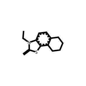 C=C1Sc2c(ccc3c2CCCC3)N1CC